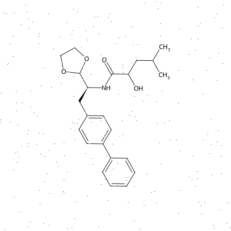 CC(C)CC(O)C(=O)N[C@@H](Cc1ccc(-c2ccccc2)cc1)C1OCCO1